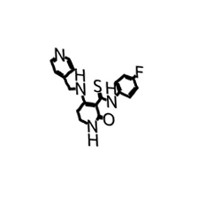 O=C1NCCC(NCc2ccncc2)=C1C(=S)Nc1ccc(F)cc1